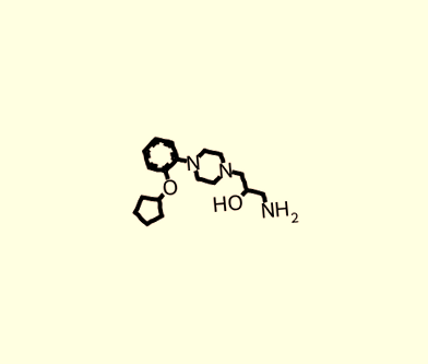 NCC(O)CN1CCN(c2ccccc2OC2CCCC2)CC1